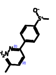 C=C(C)/C=C\C(=N/N)c1ccc([S+](C)[O-])cc1